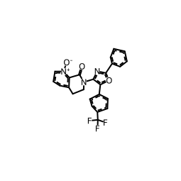 O=C1c2c(ccc[n+]2[O-])CCN1c1nc(-c2ccccc2)oc1-c1ccc(C(F)(F)F)cc1